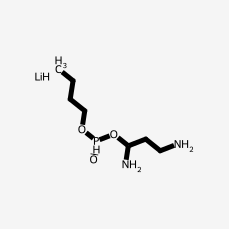 CCCCO[PH](=O)OC(N)CCN.[LiH]